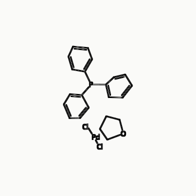 C1CCOC1.[Cl][Pd][Cl].c1ccc(P(c2ccccc2)c2ccccc2)cc1